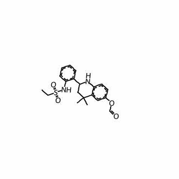 CCS(=O)(=O)Nc1ccccc1C1CC(C)(C)c2cc(OC=O)ccc2N1